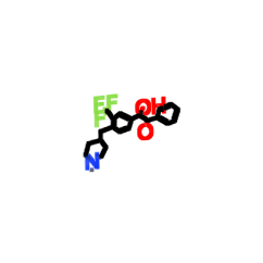 CN1CCC(Cc2ccc(C(O)C(=O)c3ccccc3)cc2C(F)(F)F)CC1